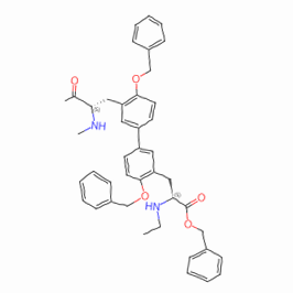 CCN[C@@H](Cc1cc(-c2ccc(OCc3ccccc3)c(C[C@H](NC)C(C)=O)c2)ccc1OCc1ccccc1)C(=O)OCc1ccccc1